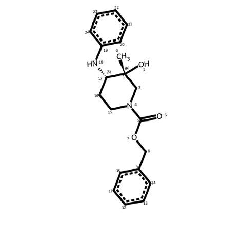 C[C@@]1(O)CN(C(=O)OCc2ccccc2)CC[C@@H]1Nc1ccccc1